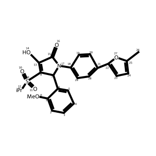 COc1ccccc1C1C(S(=O)(=O)C(C)C)=C(O)C(=O)N1c1ccc(-c2ccc(C)o2)cc1